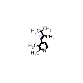 C=C(C)/C(C)=C/c1ccnc(C)c1C